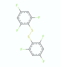 Fc1cc(F)c(SSc2c(F)cc(F)cc2F)c(F)c1